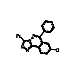 CC(C)c1nnc2c3ccc(Cl)cc3c(-c3ccccc3)nn12